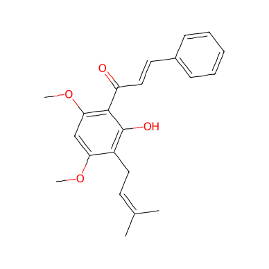 COc1cc(OC)c(C(=O)C=Cc2ccccc2)c(O)c1CC=C(C)C